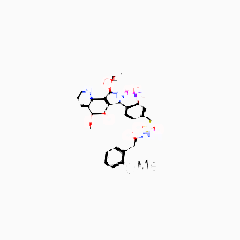 CCOC1C(=O)C2=C(c3ncccc31)C(OCC)[NH+]([O-])C2c1ccc(CS(=O)(=O)NC(=O)Cc2ccccc2OC)cc1Br